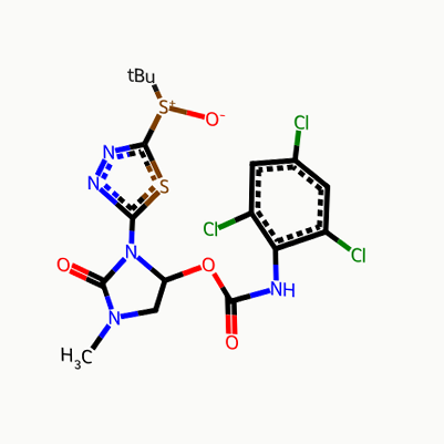 CN1CC(OC(=O)Nc2c(Cl)cc(Cl)cc2Cl)N(c2nnc([S+]([O-])C(C)(C)C)s2)C1=O